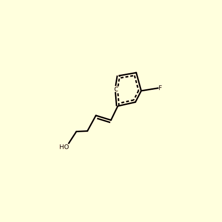 OCCC=Cc1cccc(F)c1